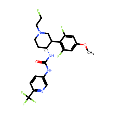 COc1cc(F)c(C2CN(CCF)CC[C@H]2NC(=O)Nc2ccc(C(F)(F)F)nc2)c(F)c1